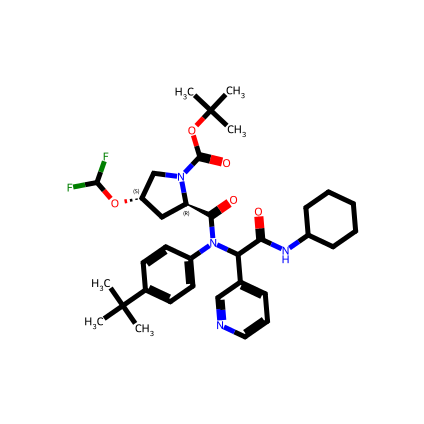 CC(C)(C)OC(=O)N1C[C@@H](OC(F)F)C[C@@H]1C(=O)N(c1ccc(C(C)(C)C)cc1)C(C(=O)NC1CCCCC1)c1cccnc1